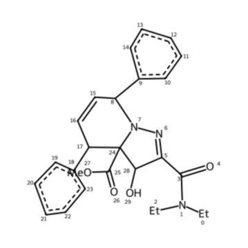 CCN(CC)C(=O)C1=NN2C(c3ccccc3)C=CC(c3ccccc3)C2(C(=O)OC)C1O